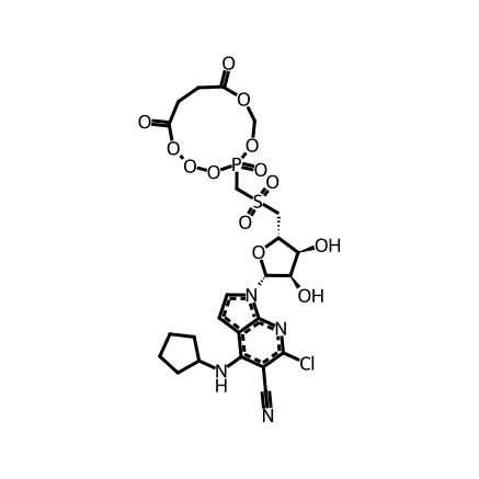 N#Cc1c(Cl)nc2c(ccn2[C@@H]2O[C@H](CS(=O)(=O)CP3(=O)OCOC(=O)CCC(=O)OOO3)[C@@H](O)[C@H]2O)c1NC1CCCC1